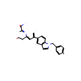 C=C(/C=C(\N=C(/C)C(N)=O)[C@H](O)CO)c1ccc2c(ccn2Cc2ccc(C(F)(F)F)cc2)c1